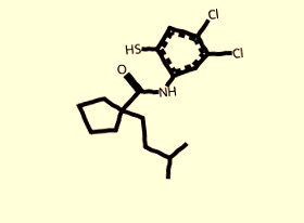 CC(C)CCC1(C(=O)Nc2cc(Cl)c(Cl)cc2S)CCCC1